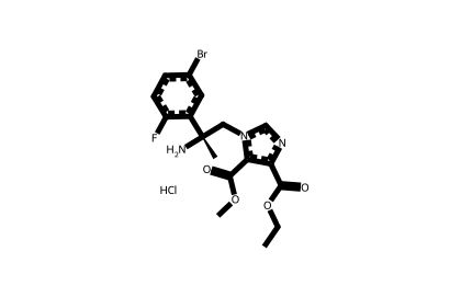 CCOC(=O)c1ncn(C[C@](C)(N)c2cc(Br)ccc2F)c1C(=O)OC.Cl